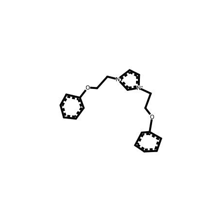 c1ccc(OCCn2cc[n+](CCOc3ccccc3)c2)cc1